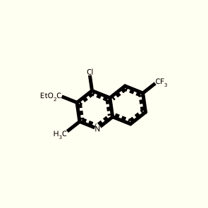 CCOC(=O)c1c(C)nc2ccc(C(F)(F)F)cc2c1Cl